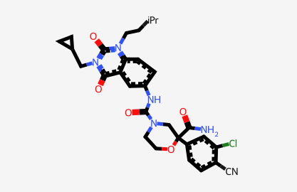 CC(C)CCn1c(=O)n(CC2CC2)c(=O)c2cc(NC(=O)N3CCOC(C(N)=O)(c4ccc(C#N)c(Cl)c4)C3)ccc21